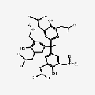 CCNCc1cc(C(C)(c2cc(CNCC)c(O)c(CN(CC)CC)c2)c2cc(CN(CC)CC)c(O)c(CN(CC)CC)c2)cc(CN(CC)CC)c1O